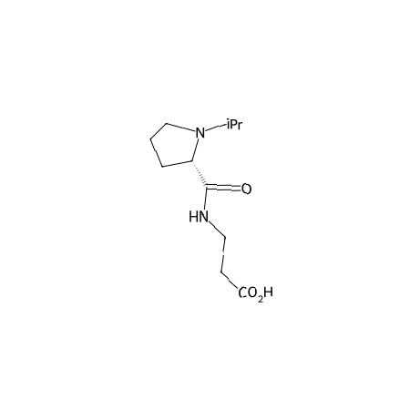 CC(C)N1CCC[C@H]1C(=O)NCCC(=O)O